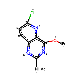 CC(=O)Nc1nc(OC(C)C)c2nc(Cl)ccc2n1